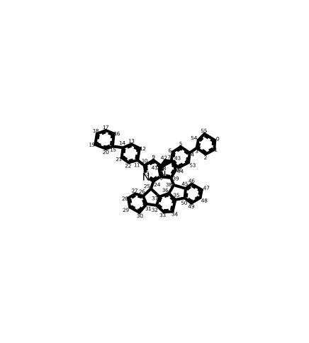 c1ccc(-c2ccc(-c3cc(-c4ccc(-c5ccccc5)cc4)nc(C4c5ccccc5-c5ccc6c(c54)C(c4ccccc4)c4ccccc4-6)n3)cc2)cc1